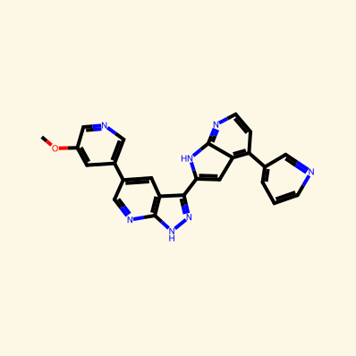 COc1cncc(-c2cnc3[nH]nc(-c4cc5c(-c6cccnc6)ccnc5[nH]4)c3c2)c1